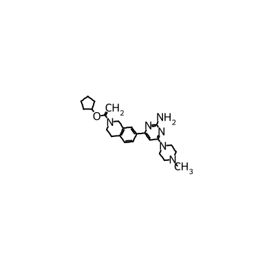 C=C(OC1CCCC1)N1CCc2ccc(-c3cc(N4CCN(C)CC4)nc(N)n3)cc2C1